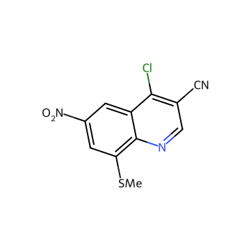 CSc1cc([N+](=O)[O-])cc2c(Cl)c(C#N)cnc12